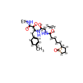 CCNC(=O)C(=O)[C@H](Cc1ccc(C)cc1)NC(=O)[C@H](CC(C)C)NC(=O)CCCCC1CCC[S+]1[O-]